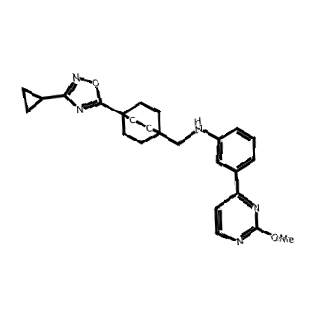 COc1nccc(-c2cccc(NCC34CCC(c5nc(C6CC6)no5)(CC3)CC4)c2)n1